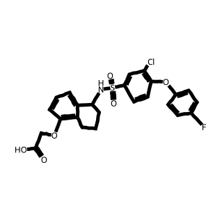 O=C(O)COc1cccc2c1CCCC2NS(=O)(=O)c1ccc(Oc2ccc(F)cc2)c(Cl)c1